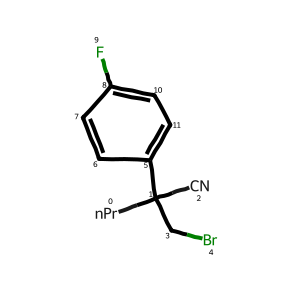 CCCC(C#N)(CBr)c1ccc(F)cc1